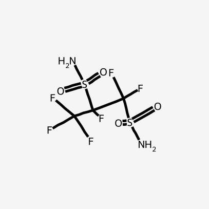 NS(=O)(=O)C(F)(F)C(F)(C(F)(F)F)S(N)(=O)=O